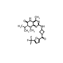 Cc1nc(NC2CN(C(=O)c3ccc(C(F)(F)F)o3)C2)nc2c1NC(=O)[C@H](C(C)C)N2C